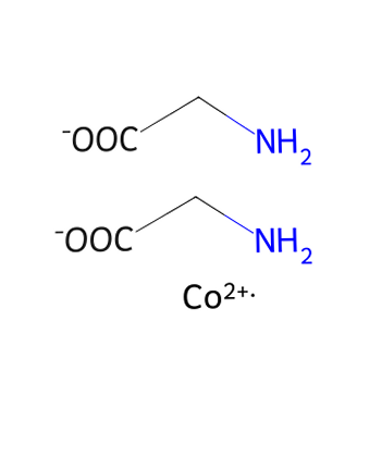 NCC(=O)[O-].NCC(=O)[O-].[Co+2]